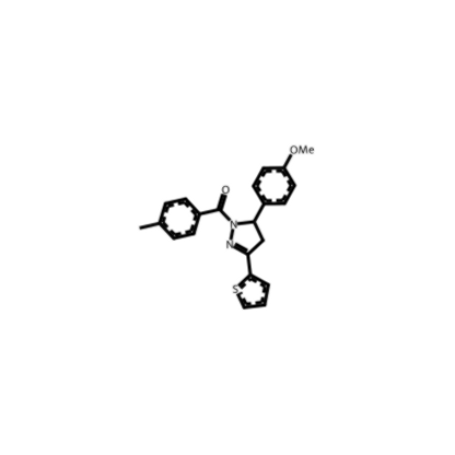 COc1ccc(C2CC(c3cccs3)=NN2C(=O)c2ccc(C)cc2)cc1